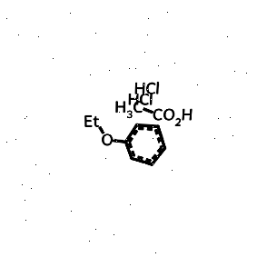 CC(=O)O.CCOc1ccccc1.Cl.Cl